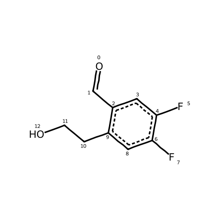 O=Cc1cc(F)c(F)cc1CCO